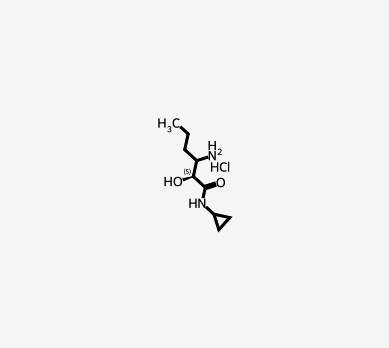 CCCC(N)[C@H](O)C(=O)NC1CC1.Cl